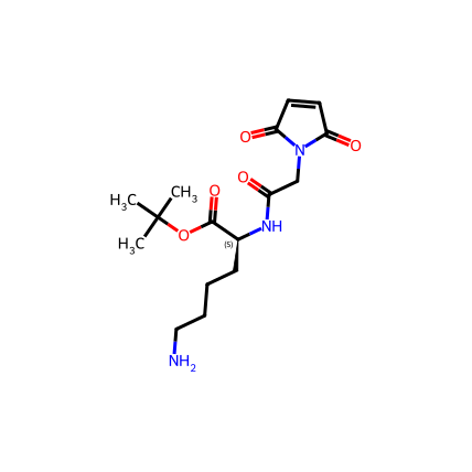 CC(C)(C)OC(=O)[C@H](CCCCN)NC(=O)CN1C(=O)C=CC1=O